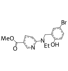 CCN(Cc1cc(Br)ccc1O)c1ccc(C(=O)OC)cn1